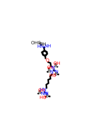 CB(O)/N=C(/NCCCCCCCN(B(C)O)/C(=N\B(C)O)N(CCCOCc1ccc(C(=N)NBC=O)cc1)B(C)O)NB(C)O